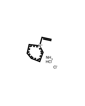 C=C[n+]1ccccc1.Cl.N.[Cl-]